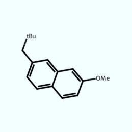 COc1ccc2ccc(CC(C)(C)C)cc2c1